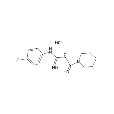 Cl.N=C(NC(=N)N1CCCCC1)Nc1ccc(F)cc1